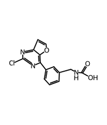 O=C(O)NCc1cccc(-c2nc(Cl)nc3ccoc23)c1